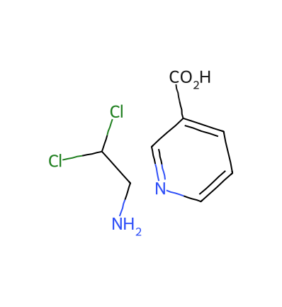 NCC(Cl)Cl.O=C(O)c1cccnc1